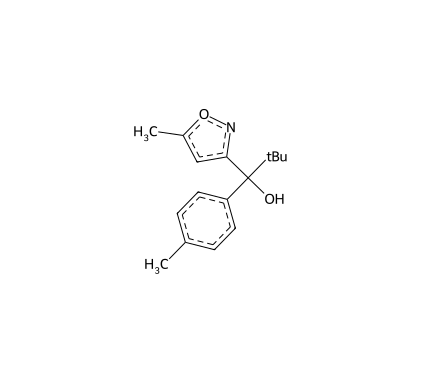 Cc1ccc(C(O)(c2cc(C)on2)C(C)(C)C)cc1